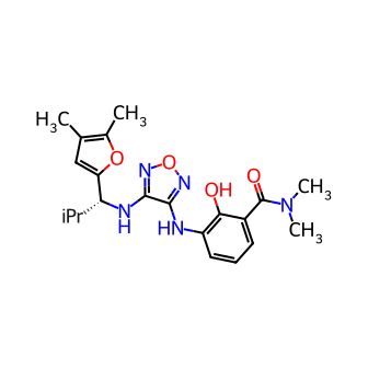 Cc1cc([C@H](Nc2nonc2Nc2cccc(C(=O)N(C)C)c2O)C(C)C)oc1C